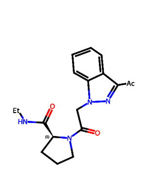 CCNC(=O)[C@@H]1CCCN1C(=O)Cn1nc(C(C)=O)c2ccccc21